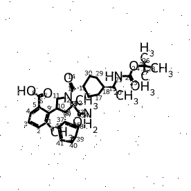 Cc1cccc(C(=O)O)c1C1CN(C(=O)[C@H]2CC[C@H](C(C)NC(=O)OC(C)(C)C)CC2)[C@](C)(C(N)=O)[C@@H]1c1ccccc1